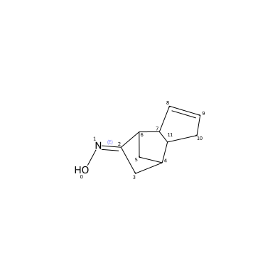 O/N=C1\CC2CC1C1C=CCC21